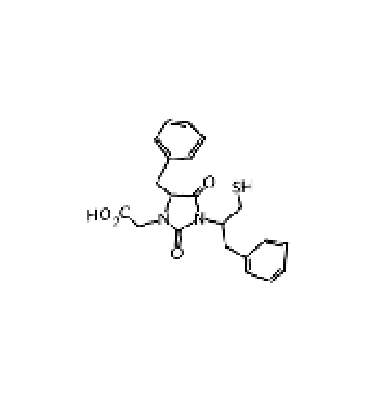 O=C(O)CN1C(=O)N(C(CS)Cc2ccccc2)C(=O)C1Cc1ccccc1